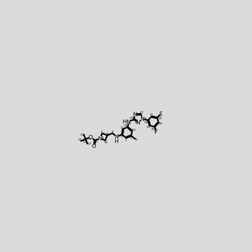 Cc1cc(NCC2CN(C(=O)OC(C)(C)C)C2)cc(Nc2ncn(-c3cc(F)cc(F)c3)n2)c1